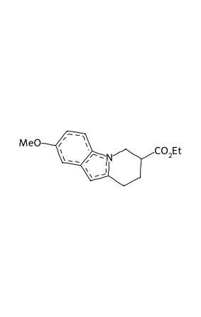 CCOC(=O)C1CCc2cc3cc(OC)ccc3n2C1